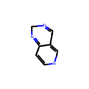 C1=CC2=NCN=CC2=C[N]1